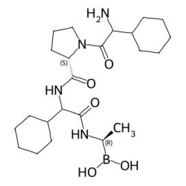 C[C@H](NC(=O)C(NC(=O)[C@@H]1CCCN1C(=O)C(N)C1CCCCC1)C1CCCCC1)B(O)O